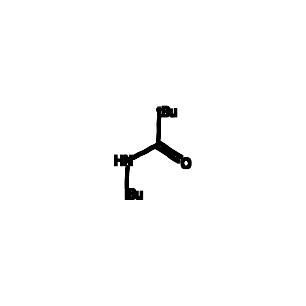 CCC(C)NC(=O)C(C)(C)C